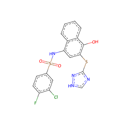 O=S(=O)(Nc1cc(Sc2nc[nH]n2)c(O)c2ccccc12)c1ccc(F)c(Cl)c1